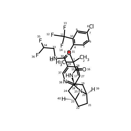 CC(C)(Oc1ccc(Cl)cc1C(F)(F)F)C(=O)N[C@H]1C[C@H]2CC[C@@H](C1)N2c1ccc(C(=O)NCC(F)F)cn1